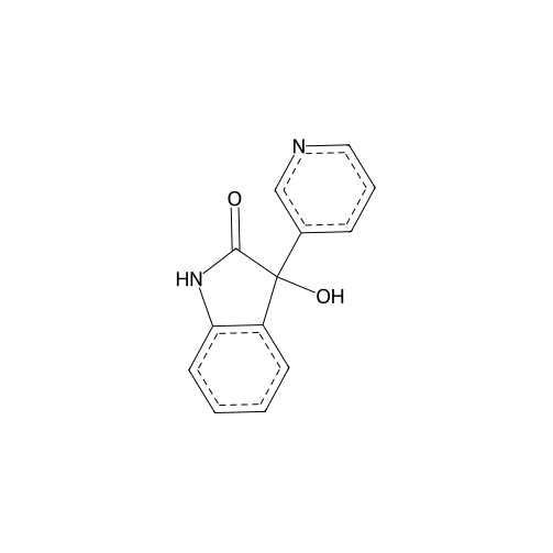 O=C1Nc2ccccc2C1(O)c1cccnc1